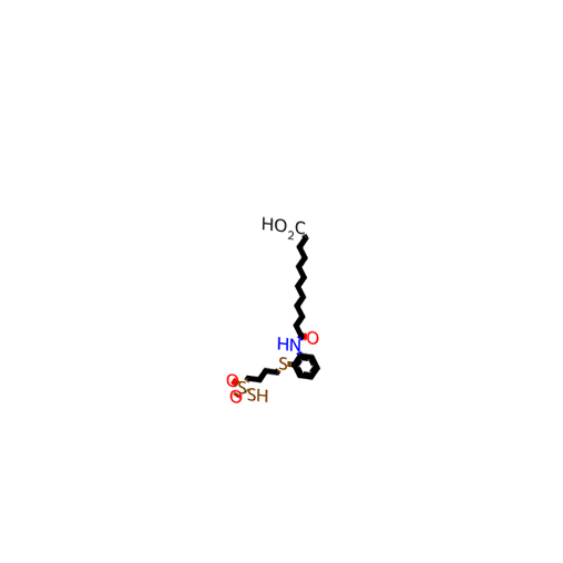 O=C(O)CCCCCCCCCCC(=O)Nc1ccccc1SCCCCS(=O)(=O)S